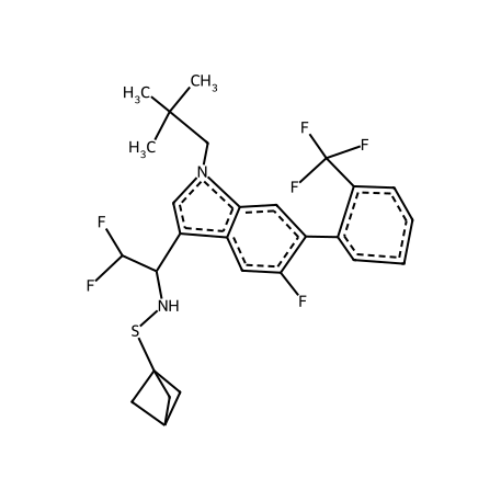 CC(C)(C)Cn1cc(C(NSC23CC(C2)C3)C(F)F)c2cc(F)c(-c3ccccc3C(F)(F)F)cc21